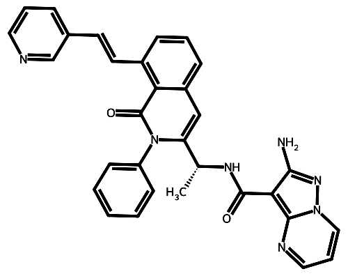 C[C@@H](NC(=O)c1c(N)nn2cccnc12)c1cc2cccc(/C=C/c3cccnc3)c2c(=O)n1-c1ccccc1